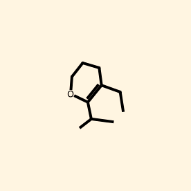 CCC1=C(C(C)C)OCCC1